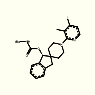 Cc1c(I)ccnc1N1CCC2(CC1)Cc1ccccc1[C@H]2OC(=O)NC(C)(C)C